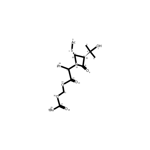 CC(=O)S[C@@H]1[C@H](C(C)(C)O)C(=O)N1C(C(=O)OCOC(=O)C(C)(C)C)C(C)C